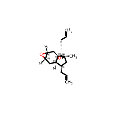 C=CC[C@@H]1C[C@@]2(C)C[C@@H](CC=C)[C@H]3C[C@@H]4O[C@@H]4C[C@@]32O1